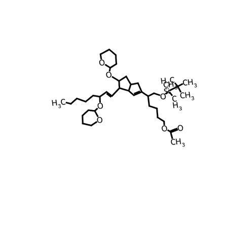 CCCCCC(C=CC1C(OC2CCCCO2)CC2CC(C(CCCCOC(C)=O)CO[Si](C)(C)C(C)(C)C)=CC21)OC1CCCCO1